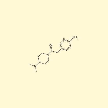 CN(C)C1CCN(C(=O)Cc2ccc(N)nc2)CC1